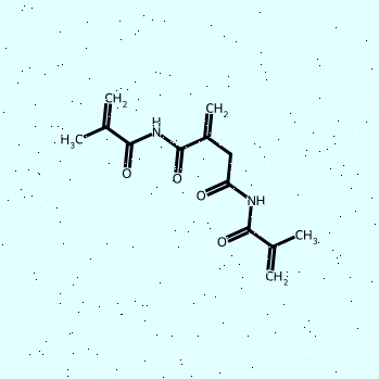 C=C(C)C(=O)NC(=O)CC(=C)C(=O)NC(=O)C(=C)C